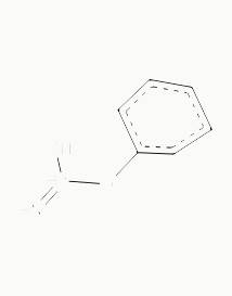 N=[PH](S)Oc1ccccc1